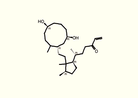 C=CC(=O)CC[C@@H](C)[C@H]1CC[C@@H](C)C1(C)CC[C@H]1C[C@H](O)CCC[C@H](O)CCC1C